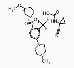 CO[C@H]1CC[C@H](S(=O)(=O)c2ccc(N3CCN(C)CC3)cc2C(F)(F)F)C1.N#CC1(NC(=O)O)CC1